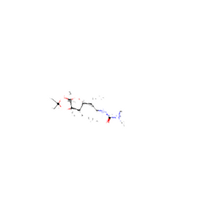 CO[C@@H]1[C@H]2OC(C)(C)O[C@H]2O[C@@H]1[C@@H](CNC(=O)N(C)N=O)OC